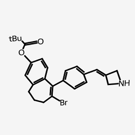 CC(C)(C)C(=O)Oc1ccc2c(c1)CCCC(Br)=C2c1ccc(C=C2CNC2)cc1